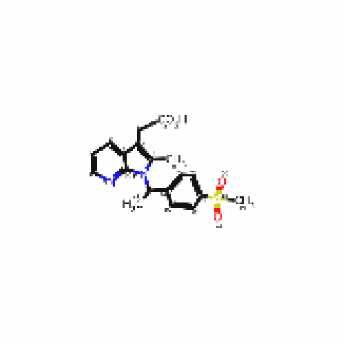 Cc1c(CC(=O)O)c2cccnc2n1C(C)c1ccc(S(C)(=O)=O)cc1